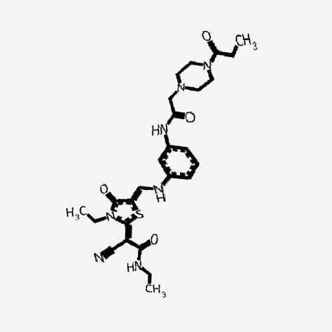 CCNC(=O)C(C#N)=c1sc(=CNc2cccc(NC(=O)CN3CCN(C(=O)CC)CC3)c2)c(=O)n1CC